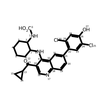 O=C(O)NC1CCCCC1Nc1c(C(=O)C2CC2)cnc2ccc(-c3cc(Cl)c(O)cc3Cl)cc12